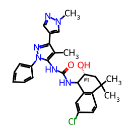 Cc1c(-c2cnn(C)c2)nn(-c2ccccc2)c1NC(=O)NC1c2cc(Cl)ccc2C(C)(C)C[C@H]1O